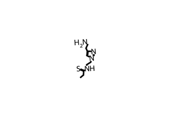 CCC(=S)NCCn1cnc(CCN)c1